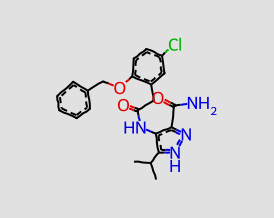 CC(C)c1[nH]nc(C(N)=O)c1NC(=O)Cc1cc(Cl)ccc1OCc1ccccc1